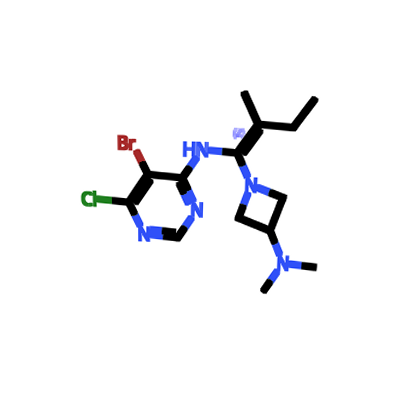 CC/C(C)=C(/Nc1ncnc(Cl)c1Br)N1CC(N(C)C)C1